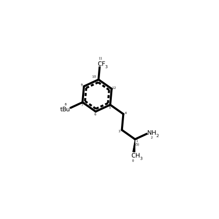 C[C@H](N)CCc1cc(C(C)(C)C)cc(C(F)(F)F)c1